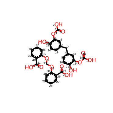 O=C(O)Oc1cc(Cc2ccc(O)c(OC(=O)O)c2)ccc1O.O=C(O)c1ccccc1OCOc1ccccc1C(=O)O